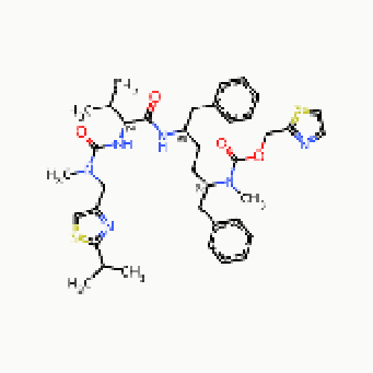 CC(C)c1nc(CN(C)C(=O)N[C@H](C(=O)N[C@H](CC[C@H](Cc2ccccc2)N(C)C(=O)OCc2nccs2)Cc2ccccc2)C(C)C)cs1